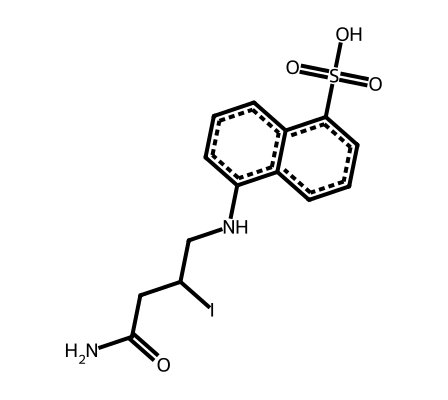 NC(=O)CC(I)CNc1cccc2c(S(=O)(=O)O)cccc12